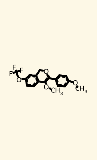 COC1=C(c2ccc(OC)cc2)OCc2cc(OC(F)(F)F)ccc21